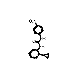 O=C(Nc1ccc([N+](=O)[O-])cc1)Nc1ccccc1C1CC1